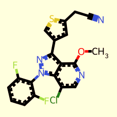 COc1ncc(Cl)c2c1c(-c1csc(CC#N)c1)nn2-c1c(F)cccc1F